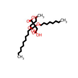 CCCCCCCCCCCCC(CCC)(C(=O)O)C(CC(=O)O)(OCCCCCCCC)C(=O)O